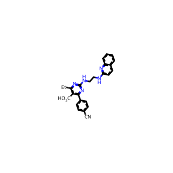 CCc1nc(NCCNc2ccc3ccccc3n2)nc(-c2ccc(C#N)cc2)c1C(=O)O